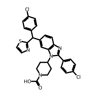 O=C(O)N1CCC(n2c(-c3ccc(Cl)cc3)nc3ccc(C(c4ccc(Cl)cc4)c4nccs4)cc32)CC1